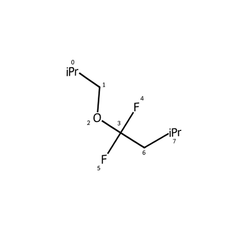 CC(C)COC(F)(F)CC(C)C